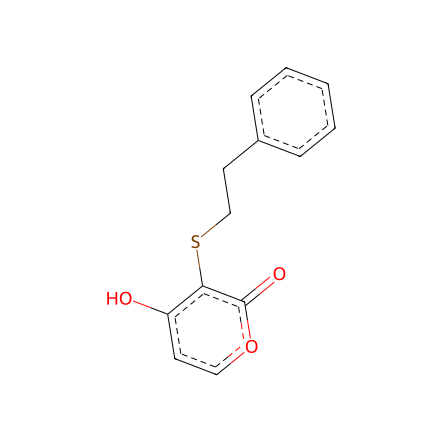 O=c1occc(O)c1SCCc1ccccc1